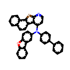 c1ccc(-c2ccc(N(c3ccc4oc5ccccc5c4c3)c3ccnc4sc5c6ccccc6ccc5c34)cc2)cc1